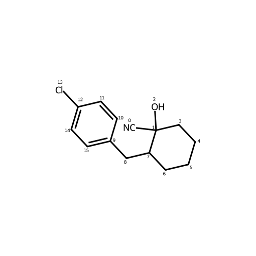 N#CC1(O)CCCCC1Cc1ccc(Cl)cc1